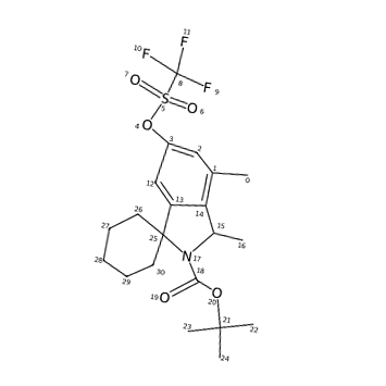 Cc1cc(OS(=O)(=O)C(F)(F)F)cc2c1C(C)N(C(=O)OC(C)(C)C)C21CCCCC1